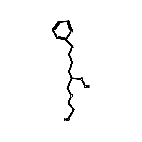 OCCOCC(CCSSc1ccccn1)OO